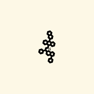 c1ccc(-c2cccc3c2ccc2c(-c4ccccc4)cc(-c4c5ccccc5c(-c5ccc6ccccc6c5)c5ccccc45)nc23)cc1